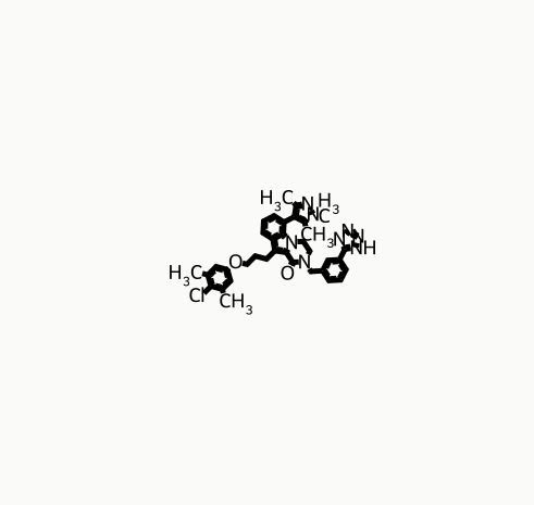 Cc1cc(OCCCc2c3n(c4c(-c5c(C)nn(C)c5C)cccc24)CCN(Cc2cccc(-c4nnn[nH]4)c2)C3=O)cc(C)c1Cl